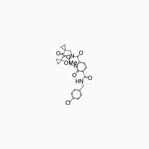 COC1(S(=O)(=O)C2(CN3CCn4c(ccc(C(=O)NCc5ccc(Cl)cc5)c4=O)C3=O)CC2)CC1